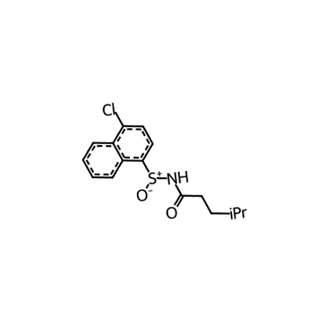 CC(C)CCC(=O)N[S+]([O-])c1ccc(Cl)c2ccccc12